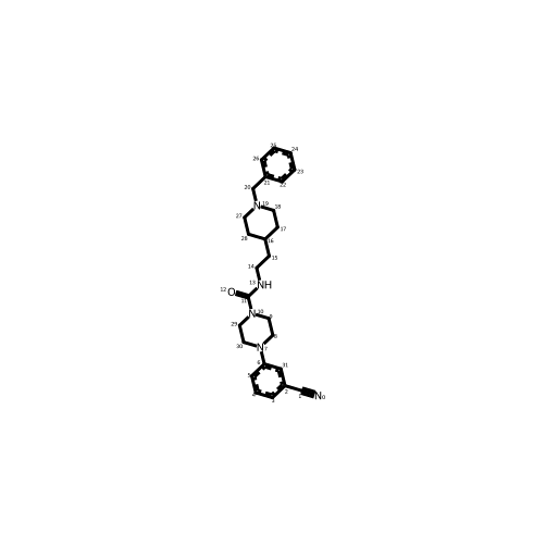 N#Cc1cccc(N2CCN(C(=O)NCCC3CCN(Cc4ccccc4)CC3)CC2)c1